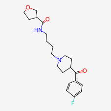 O=C(NCCCCN1CCC(C(=O)c2ccc(F)cc2)CC1)C1CCOC1